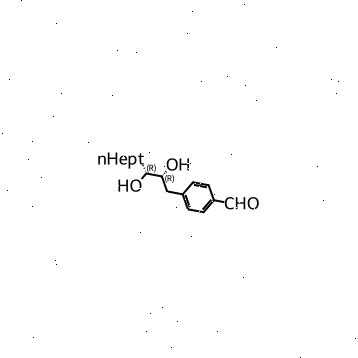 CCCCCCC[C@@H](O)[C@H](O)Cc1ccc(C=O)cc1